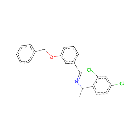 CC(N=Cc1cccc(OCc2ccccc2)c1)c1ccc(Cl)cc1Cl